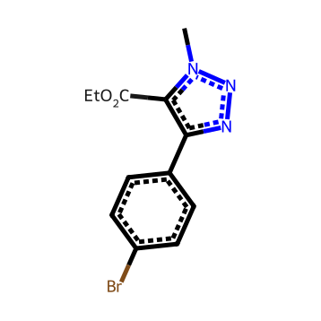 CCOC(=O)c1c(-c2ccc(Br)cc2)nnn1C